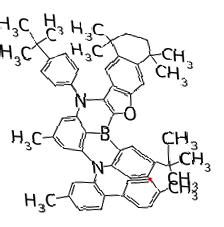 Cc1ccc(-c2ccc(C)cc2N2c3ccc(C(C)(C)C)cc3B3c4oc5cc6c(cc5c4N(c4ccc(C(C)(C)C)cc4)c4cc(C)cc2c43)C(C)(C)CCC6(C)C)cc1